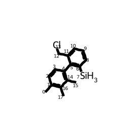 Cc1ccc(-c2c([SiH3])cccc2CCl)c(C)c1C